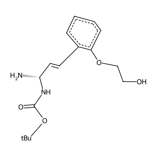 CC(C)(C)OC(=O)N[C@H](N)/C=C/c1ccccc1OCCO